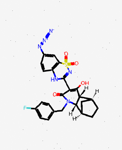 [N-]=[N+]=Nc1ccc2c(c1)S(=O)(=O)N=C(C1=C(O)[C@@H]3[C@H]4CC[C@H](C4)[C@@H]3N(Cc3ccc(F)cc3)C1=O)N2